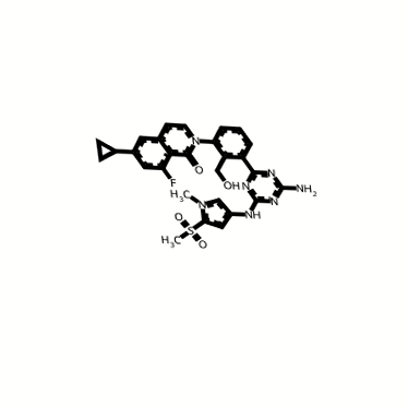 Cn1cc(Nc2nc(N)nc(-c3cccc(-n4ccc5cc(C6CC6)cc(F)c5c4=O)c3CO)n2)cc1S(C)(=O)=O